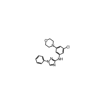 Clc1cc(Nc2ncn(-c3ccccc3)n2)cc(N2CCOCC2)c1